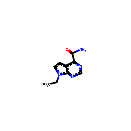 NC(=O)c1ncnc2c1ccn2CC(=O)O